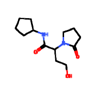 O=C(NC1CCCC1)C(CCO)N1CCCC1=O